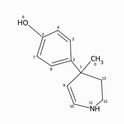 CC1(c2ccc(O)cc2)C=CNCC1